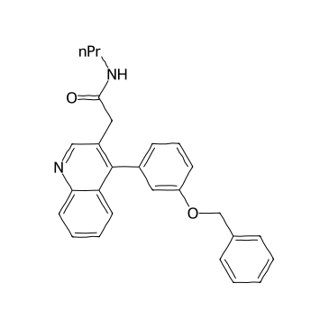 CCCNC(=O)Cc1cnc2ccccc2c1-c1cccc(OCc2ccccc2)c1